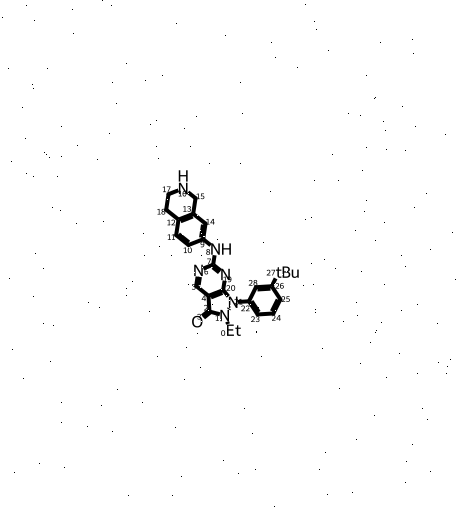 CCn1c(=O)c2cnc(Nc3ccc4c(c3)CNCC4)nc2n1-c1cccc(C(C)(C)C)c1